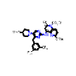 CCOC(=O)N1c2ccc(OC)nc2[C@@H](Nc2ncc(N3CCC(OC)CC3)c(Cc3cc(C(F)(F)F)cc(C(F)(F)F)c3)n2)C[C@H]1CC